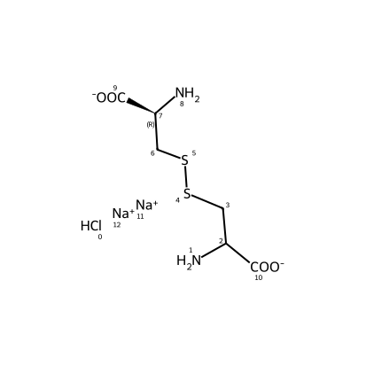 Cl.NC(CSSC[C@H](N)C(=O)[O-])C(=O)[O-].[Na+].[Na+]